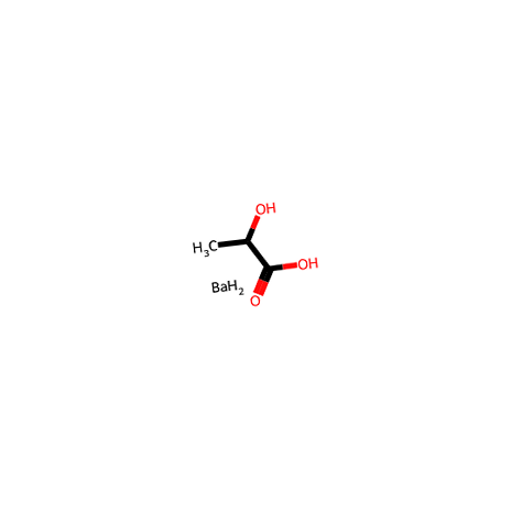 CC(O)C(=O)O.[BaH2]